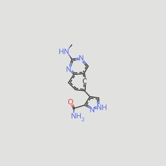 CNc1ncc2cc(-c3c[nH]nc3C(N)=O)ccc2n1